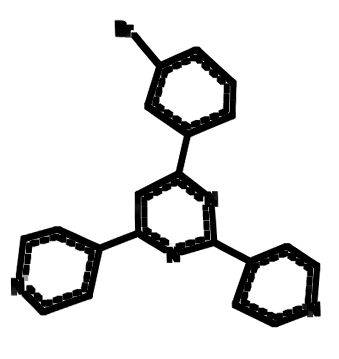 Brc1cccc(-c2cc(-c3ccncc3)nc(-c3ccncc3)n2)c1